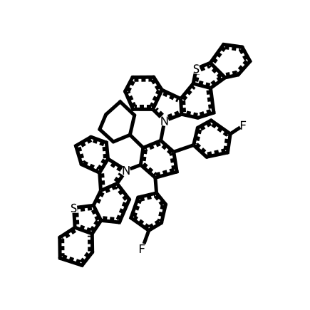 Fc1ccc(-c2cc(-c3ccc(F)cc3)c(-n3c4ccccc4c4c5sc6ccccc6c5ccc43)c(C3CCCCC3)c2-n2c3ccccc3c3c4sc5ccccc5c4ccc32)cc1